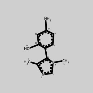 Cc1ncn(C)c1-c1ccc(N)cc1O